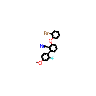 COc1ccc(-c2cccc(Oc3ccccc3Br)c2C#N)c(F)c1